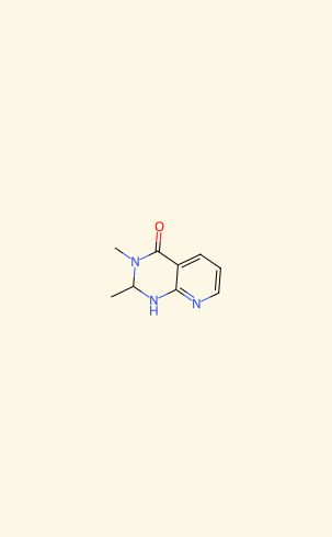 CC1Nc2ncccc2C(=O)N1C